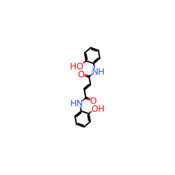 O=C(C=CC(=O)Nc1ccccc1O)Nc1ccccc1O